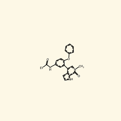 CCC(=O)Nc1ccc(Oc2ccccc2)c(-c2cn(C)c(=O)c3[nH]ccc23)c1